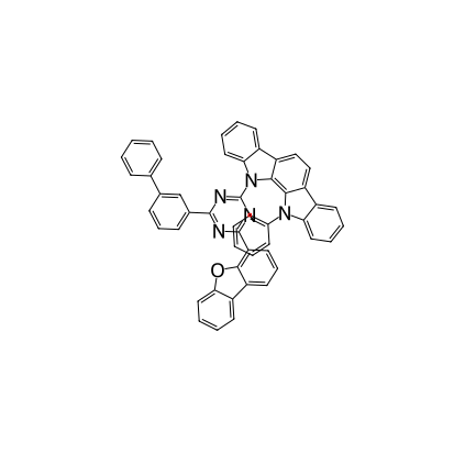 c1ccc(-c2cccc(-c3nc(-c4cccc5c4oc4ccccc45)nc(-n4c5ccccc5c5ccc6c7ccccc7n(-c7ccccc7)c6c54)n3)c2)cc1